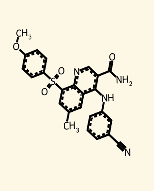 COc1ccc(S(=O)(=O)c2cc(C)cc3c(Nc4cccc(C#N)c4)c(C(N)=O)cnc23)cc1